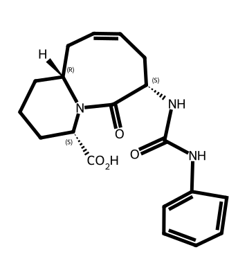 O=C(Nc1ccccc1)N[C@H]1CC=CC[C@H]2CCC[C@@H](C(=O)O)N2C1=O